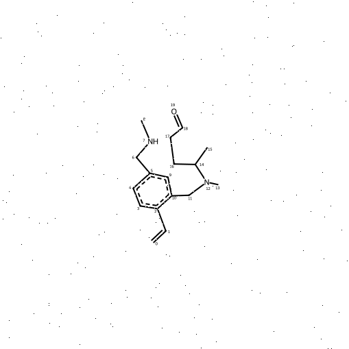 C=Cc1ccc(CNC)cc1CN(C)C(C)CCC=O